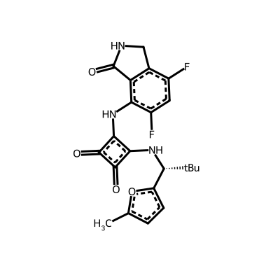 Cc1ccc([C@H](Nc2c(Nc3c(F)cc(F)c4c3C(=O)NC4)c(=O)c2=O)C(C)(C)C)o1